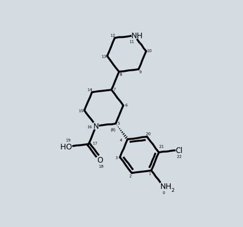 Nc1ccc([C@H]2CC(C3CCNCC3)CCN2C(=O)O)cc1Cl